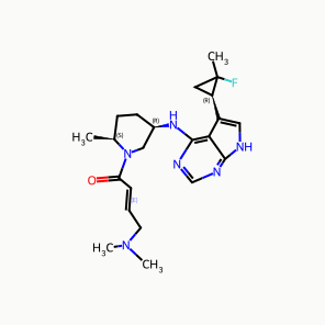 C[C@H]1CC[C@@H](Nc2ncnc3[nH]cc([C@H]4CC4(C)F)c23)CN1C(=O)/C=C/CN(C)C